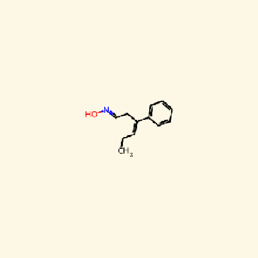 CCC=C(CC=NO)c1ccccc1